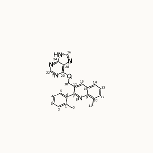 Cc1ccccc1-c1nc2c(C)cccc2cc1COc1ncnc2[nH]cnc12